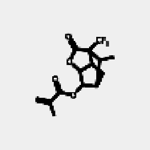 C=C(C)C(=O)OC1C2CC3C1OC(=O)C3(C(F)(F)F)C2C